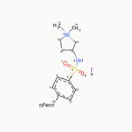 CCCCCc1ccc(S(=O)(=O)NC2CC[N+](C)(C)C2)cc1.[I-]